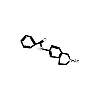 CC(=O)N1CCc2cc(NC(=O)c3ccccc3)ccc2C1